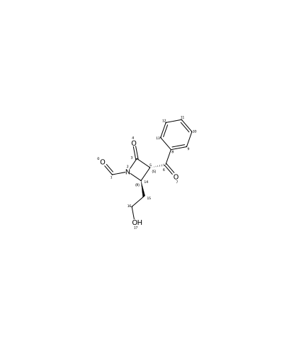 O=CN1C(=O)[C@H](C(=O)c2ccccc2)[C@H]1CCO